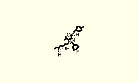 [CH2]CC(O)CC(O)CCn1c(-c2ccc(F)cc2)nc(C(=O)NCc2ccc(C)cc2)c1C(C)C